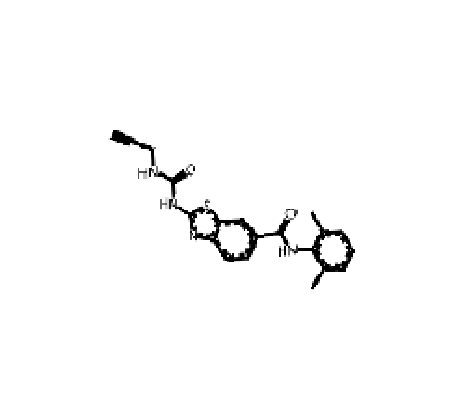 C#CCNC(=O)Nc1nc2ccc(C(=O)Nc3c(C)cccc3C)cc2s1